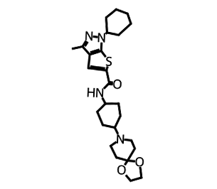 Cc1nn(C2CCCCC2)c2sc(C(=O)NC3CCC(N4CCC5(CC4)OCCO5)CC3)cc12